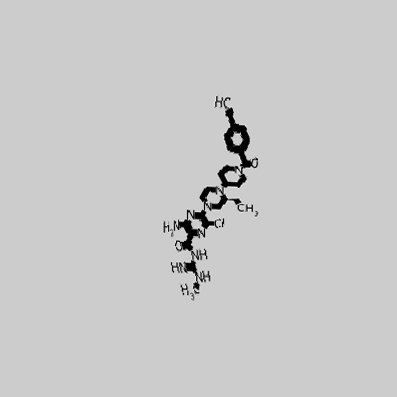 C#Cc1ccc(C(=O)N2CCC(N3CCN(c4nc(N)c(C(=O)NC(=N)NC)nc4Cl)C[C@@H]3CC)CC2)cc1